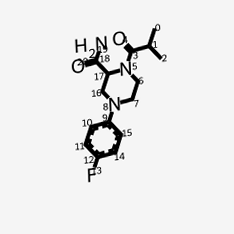 CC(C)C(=O)N1CCN(c2ccc(F)cc2)CC1C(N)=O